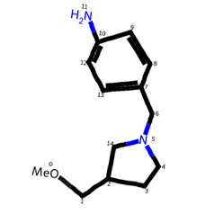 COCC1CCN(Cc2ccc(N)cc2)C1